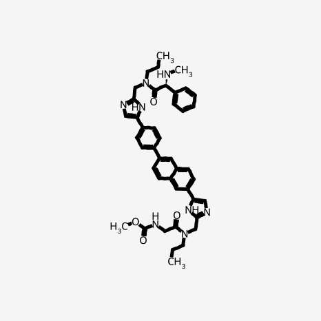 CCCN(Cc1ncc(-c2ccc3cc(-c4ccc(-c5cnc(CN(CCC)C(=O)[C@H](NC)c6ccccc6)[nH]5)cc4)ccc3c2)[nH]1)C(=O)CNC(=O)OC